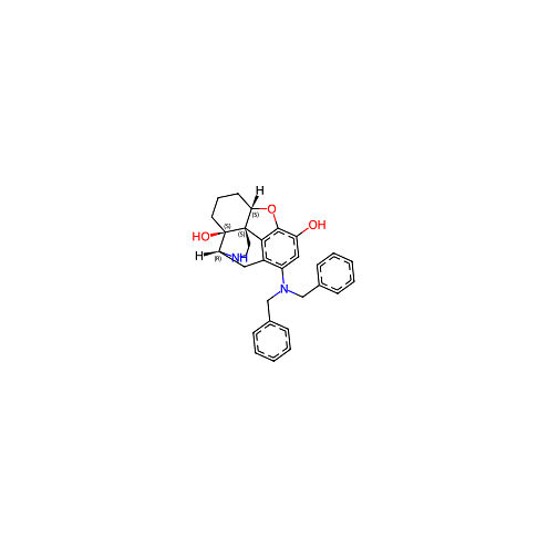 Oc1cc(N(Cc2ccccc2)Cc2ccccc2)c2c3c1O[C@H]1CCC[C@@]4(O)[C@@H](C2)NCC[C@]314